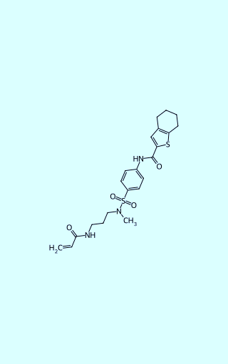 C=CC(=O)NCCCN(C)S(=O)(=O)c1ccc(NC(=O)c2cc3c(s2)CCCC3)cc1